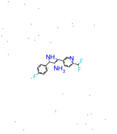 NC(c1ccc(F)cc1)[C@@H](N)Cc1ccc(C(F)F)nc1